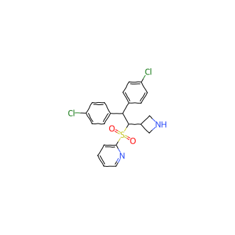 O=S(=O)(c1ccccn1)C(C1CNC1)C(c1ccc(Cl)cc1)c1ccc(Cl)cc1